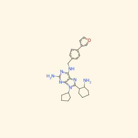 Nc1nc(NCc2ccc(-c3ccoc3)cc2)c2nc(C3CCCCC3N)n(C3CCCC3)c2n1